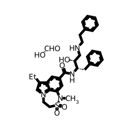 CCc1cn2c3c(cc(C(=O)N[C@@H](Cc4ccccc4)[C@H](O)CNCCc4ccccc4)cc13)N(C)S(=O)(=O)CC2.O=CO